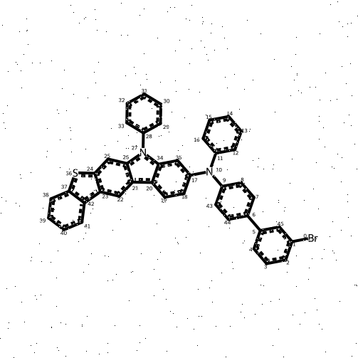 Brc1cccc(-c2ccc(N(c3ccccc3)c3ccc4c5cc6c(cc5n(-c5ccccc5)c4c3)sc3ccccc36)cc2)c1